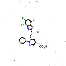 Cl.O=C(O)Cc1cnc(-c2ccccc2)c(CCc2nc3c(F)c(F)cc(F)c3s2)c1